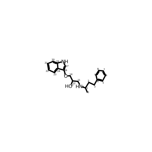 CC(CCc1ccccc1)NCC(O)COc1c[nH]c2ccccc12